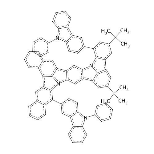 CC(C)(C)c1cc(-c2ccc3c(c2)c2ccccc2n3-c2ccccc2)c2c(c1)c1cc(C(C)(C)C)cc3c4cc5c(cc4n2c31)c1cc2ccccc2c2c3cc4ccccc4c(-c4ccc6c(c4)c4ccccc4n6-c4ccccc4)c3n5c12